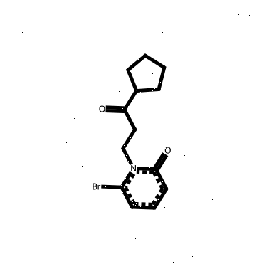 O=C(CCn1c(Br)cccc1=O)C1CCCC1